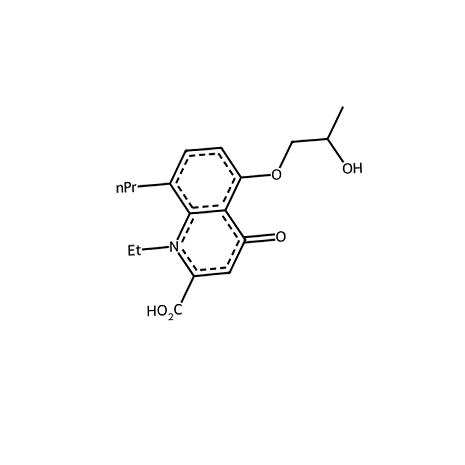 CCCc1ccc(OCC(C)O)c2c(=O)cc(C(=O)O)n(CC)c12